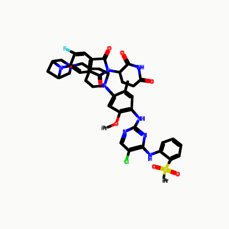 Cc1cc(Nc2ncc(Cl)c(Nc3ccccc3S(=O)(=O)C(C)C)n2)c(OC(C)C)cc1N1CCC(CN2CC3CC(C2)N3c2cc3c(cc2F)C(=O)N(C2CCC(=O)NC2=O)C3=O)CC1